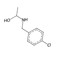 CC(O)NCc1ccc(Cl)cc1